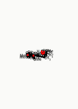 COC(C)OC(C)O[Si](OC(C)OC(C)OC)(OC(C)OC(C)OC)C(C)CCCCCC(=O)CCCCCC(C)[Si](OC(C)OC(C)OC)(OC(C)OC(C)OC)OC(C)OC(C)OC